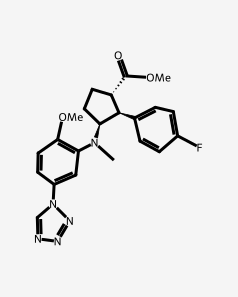 COC(=O)[C@H]1CC[C@H](N(C)c2cc(-n3cnnn3)ccc2OC)[C@@H]1c1ccc(F)cc1